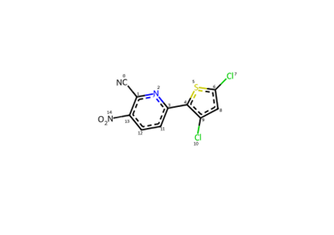 N#Cc1nc(-c2sc(Cl)cc2Cl)ccc1[N+](=O)[O-]